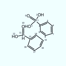 O=P(O)(O)c1ccccc1.O=[PH](O)c1ccccc1